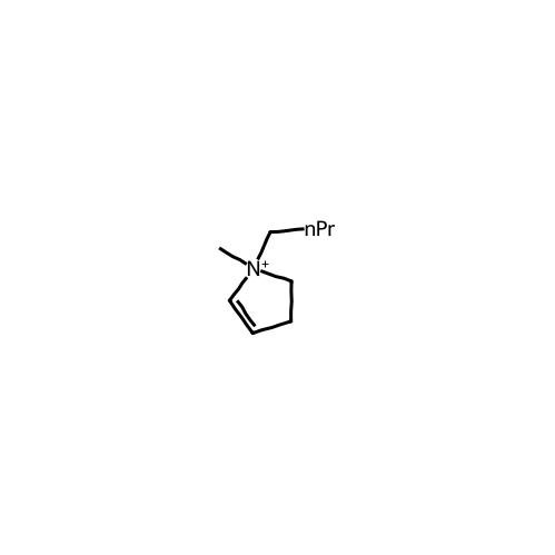 CCCC[N+]1(C)C=CCC1